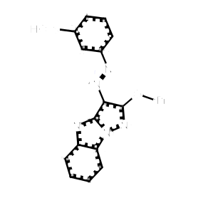 CC(C)Oc1nn2c([nH]c3ccccc32)c1/N=N/c1cccc(S(=O)(=O)O)c1